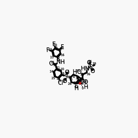 C[C@H]1CC2C[C@@H](S(=O)(=O)c3cc(C(=O)Nc4cc(F)c(F)c(F)c4)ccc3Cl)C[C@H]1[C@@]2(O)C(O)C(O)CNS(C)(=O)=O